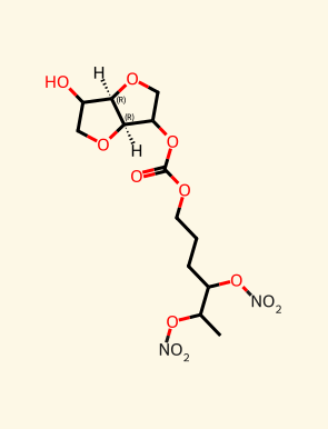 CC(O[N+](=O)[O-])C(CCCOC(=O)OC1CO[C@@H]2C(O)CO[C@H]12)O[N+](=O)[O-]